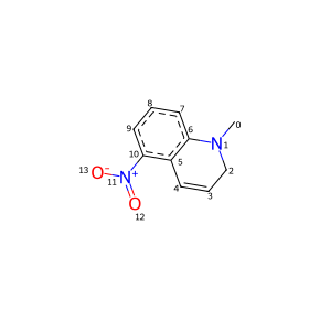 CN1CC=Cc2c1cccc2[N+](=O)[O-]